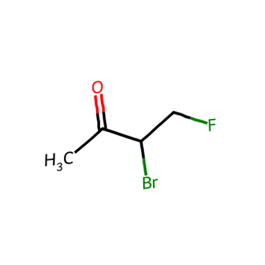 CC(=O)C(Br)CF